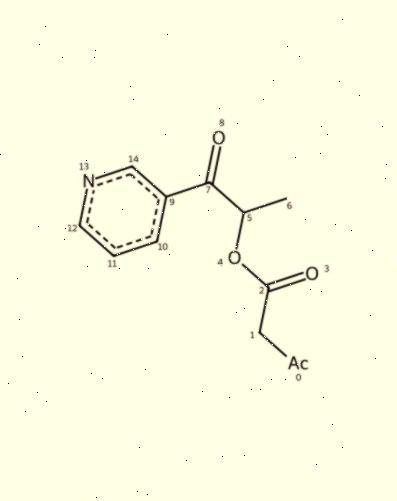 CC(=O)CC(=O)OC(C)C(=O)c1cccnc1